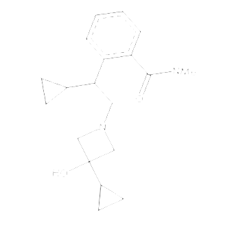 CNC(=O)c1ccccc1C(CN1CC(O)(C2CC2)C1)C1CC1